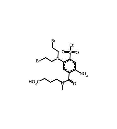 CCS(=O)(=O)c1cc([N+](=O)[O-])c(C(=O)N(C)CCCC(=O)O)cc1N(CCBr)CCBr